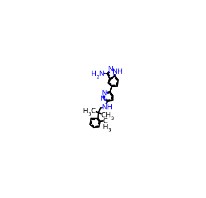 Cc1ccccc1C(C)(C)CNc1ccc(-c2ccc3[nH]nc(N)c3c2)nn1